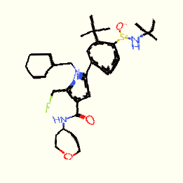 CC(C)(C)N[S+]([O-])c1ccc(-c2cc(C(=O)NC3CCOCC3)c(CF)n2CC2CCCCC2)cc1C(C)(C)C